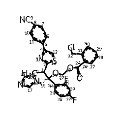 C[C@@H](c1nc(-c2ccc(C#N)cc2)cs1)[C@@](Cn1cncn1)(OCOC(=O)c1ccccc1CCl)c1ccc(F)cc1F